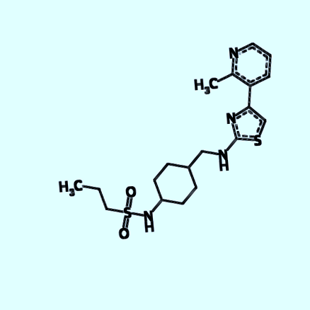 CCCS(=O)(=O)NC1CCC(CNc2nc(-c3cccnc3C)cs2)CC1